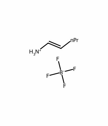 CCC/C=C/[NH3+].F[B-](F)(F)F